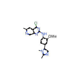 COc1cc(-c2cnc(C)n2C)ccc1Nc1nc(Cl)c2cc(C)ncc2n1